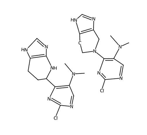 CN(C)c1cnc(Cl)nc1C1CCc2[nH]cnc2N1.CN(C)c1cnc(Cl)nc1N1CCc2[nH]cnc2C1